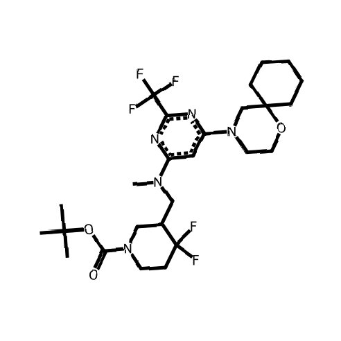 CN(CC1CN(C(=O)OC(C)(C)C)CCC1(F)F)c1cc(N2CCOC3(CCCCC3)C2)nc(C(F)(F)F)n1